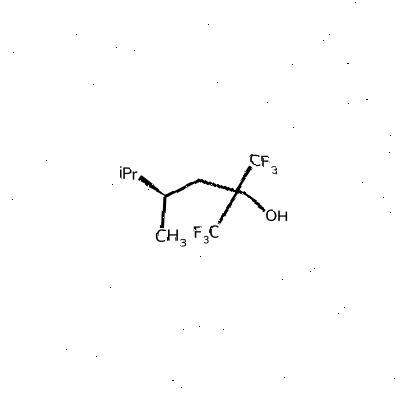 CC(C)[C@H](C)CC(O)(C(F)(F)F)C(F)(F)F